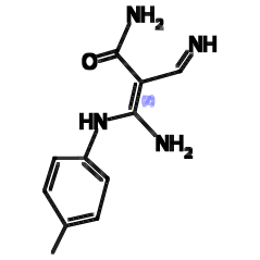 Cc1ccc(N/C(N)=C(/C=N)C(N)=O)cc1